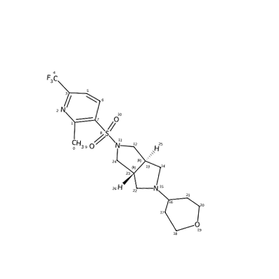 Cc1nc(C(F)(F)F)ccc1S(=O)(=O)N1C[C@H]2CN(C3CCOCC3)C[C@@H]2C1